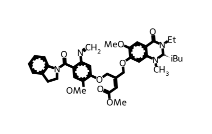 C=Nc1cc(OC/C(=C\C(=O)OC)COc2cc3c(cc2OC)C(=O)N(CC)C([C@@H](C)CC)N3C)c(OC)cc1C(=O)N1CCc2ccccc21